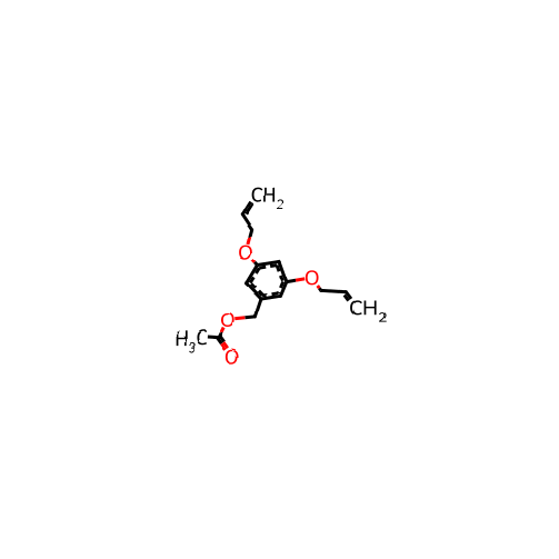 C=CCOc1cc(COC(C)=O)cc(OCC=C)c1